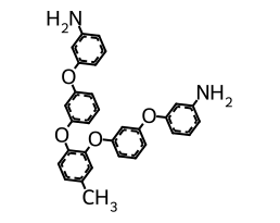 Cc1ccc(Oc2cccc(Oc3cccc(N)c3)c2)c(Oc2cccc(Oc3cccc(N)c3)c2)c1